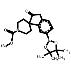 CC(C)(C)OC(=O)N1CCC2(CC1)C(=O)Cc1ccc(B3OC(C)(C)C(C)(C)O3)cc12